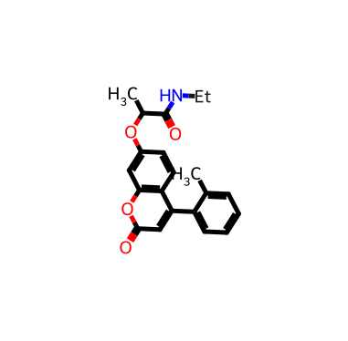 CCNC(=O)C(C)Oc1ccc2c(-c3ccccc3C)cc(=O)oc2c1